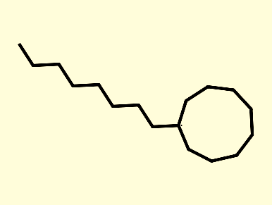 CCCCCCCC[C]1CCCCCCCC1